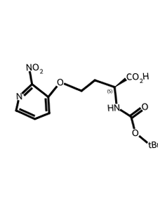 CC(C)(C)OC(=O)N[C@@H](CCOc1cccnc1[N+](=O)[O-])C(=O)O